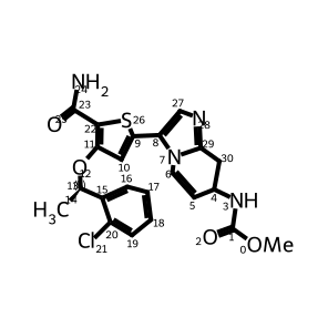 COC(=O)NC1C=Cn2c(-c3cc(O[C@H](C)c4ccccc4Cl)c(C(N)=O)s3)cnc2C1